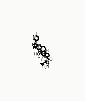 C[C@]12Cc3cnn(-c4ccc(F)nc4)c3C=C1CC[C@@H]1[C@@H]2[C@@H](O)C[C@@]2(C)[C@H]1CC[C@]2(OC(=O)C1CC1)C(=O)OCN